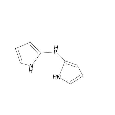 c1c[nH]c(Pc2ccc[nH]2)c1